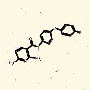 Cc1ccc(C(=O)Nc2ccc(Oc3ccc(F)cc3)cc2)c(N)n1